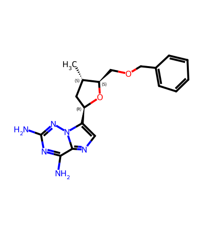 C[C@H]1C[C@H](c2cnc3c(N)nc(N)nn23)O[C@@H]1COCc1ccccc1